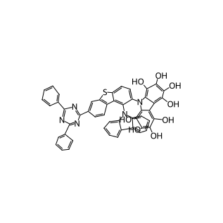 Oc1c(O)c(O)c2c(c1O)c1c(O)c(O)c(O)c(O)c1n2-c1ccc2sc3cc(-c4nc(-c5ccccc5)nc(-c5ccccc5)n4)ccc3c2c1-n1c2ccccc2c2ccccc21